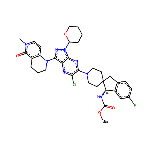 Cn1ccc2c(c1=O)CCCN2c1nn(C2CCCCO2)c2nc(N3CCC4(CC3)Cc3ccc(F)cc3[C@H]4NC(=O)OC(C)(C)C)c(Cl)nc12